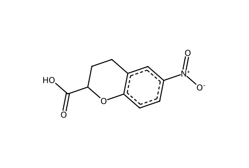 O=C(O)C1CCc2cc([N+](=O)[O-])ccc2O1